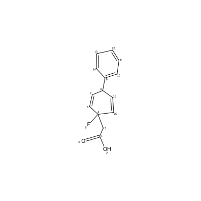 O=C(O)CC1(F)C=CC(c2ccccc2)C=C1